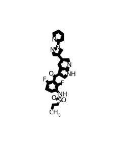 CCCS(=O)(=O)Nc1ccc(F)c(C(=O)c2c[nH]c3ncc(-c4cnn(-c5ccccn5)c4)cc23)c1F